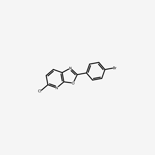 Clc1ccc2nc(-c3ccc(Br)cc3)oc2n1